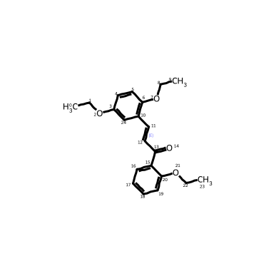 CCOc1ccc(OCC)c(/C=C/C(=O)c2ccccc2OCC)c1